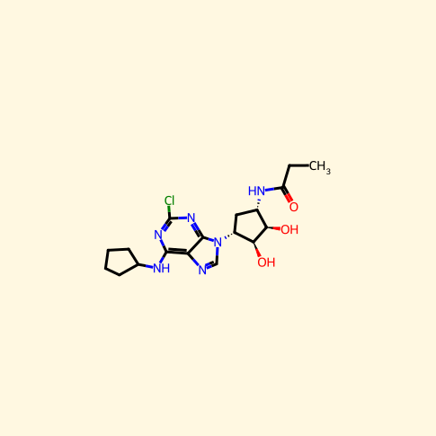 CCC(=O)N[C@H]1C[C@@H](n2cnc3c(NC4CCCC4)nc(Cl)nc32)[C@H](O)[C@@H]1O